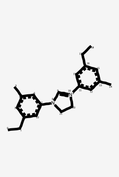 CCc1cc(C)cc(N2C=[N+](c3cc(C)cc(CC)c3)CC2)c1